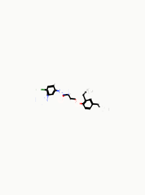 CCC(C)Cc1ccc(OCCCC(=O)Nc2ccc(Cl)c(N)c2)c(CC(C)CC)c1